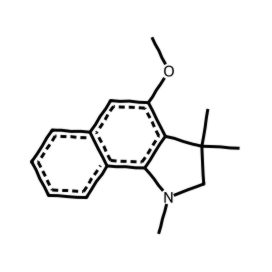 COc1cc2ccccc2c2c1C(C)(C)CN2C